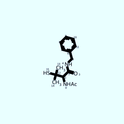 CC(=O)NC(C(=O)NCc1ccccc1)C(C)(C)S